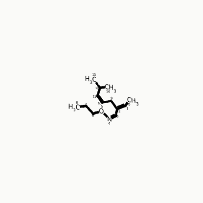 C/C=C(/C=N\OCCC)CC=CC(C)C